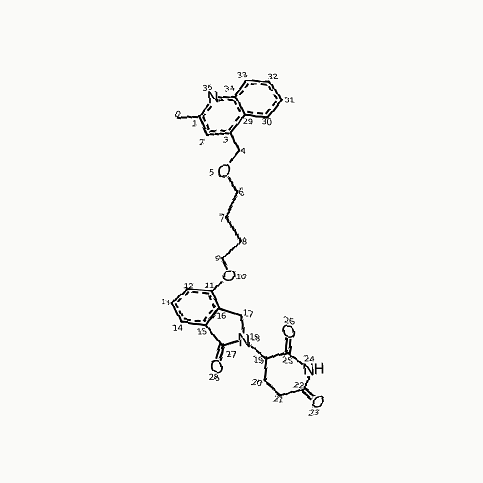 Cc1cc(COCCCCOc2cccc3c2CN(C2CCC(=O)NC2=O)C3=O)c2ccccc2n1